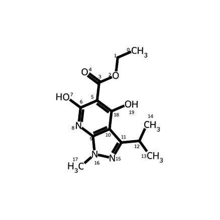 CCOC(=O)c1c(O)nc2c(c(C(C)C)nn2C)c1O